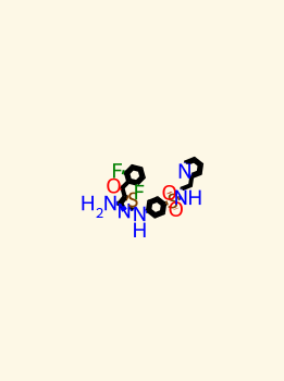 Nc1nc(Nc2ccc(S(=O)(=O)NCCc3ccccn3)cc2)sc1C(=O)c1c(F)cccc1F